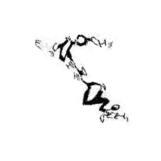 CC1CCN(c2nc(C(F)(F)F)ccc2CNC(=O)Nc2ccc(CCS(C)(=O)=O)nc2)CC1